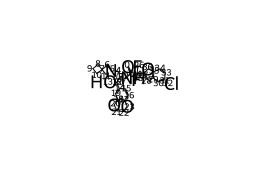 O=C(N[C@H](CN1CC2(CCC2)C1)[C@H](O)c1ccc2c(c1)OCCO2)C(F)(F)c1cc2cc(Cl)ccc2o1